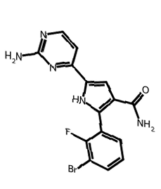 NC(=O)c1cc(-c2ccnc(N)n2)[nH]c1-c1cccc(Br)c1F